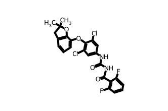 CC1(C)Cc2cccc(Oc3c(Cl)cc(NC(=O)NC(=O)c4c(F)cccc4F)cc3Cl)c2O1